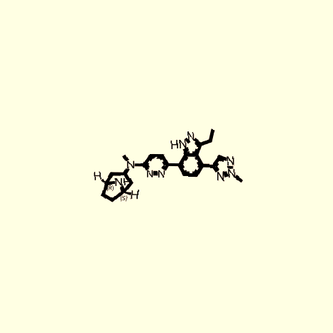 CCc1n[nH]c2c(-c3ccc(N(C)C4C[C@H]5CC[C@@H](C4)N5)nn3)ccc(-c3cnn(C)n3)c12